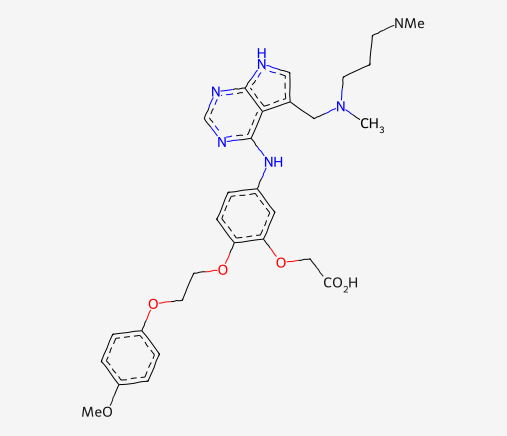 CNCCCN(C)Cc1c[nH]c2ncnc(Nc3ccc(OCCOc4ccc(OC)cc4)c(OCC(=O)O)c3)c12